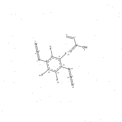 C=CC(=O)O.[N-]=[N+]=Nc1c(F)c(F)c(N=[N+]=[N-])c(F)c1F